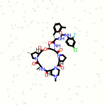 Cc1cccc(C[C@H](NC(=O)Nc2ccc(Cl)cc2F)C(=O)N[C@@H]2C(=O)N3CCC[C@H]3C(=O)N3CCN(C)C[C@H]3C(=O)N[C@@H](C)C(=O)N3C[C@H](C)C[C@H]3C(=O)O[C@H]2C)c1